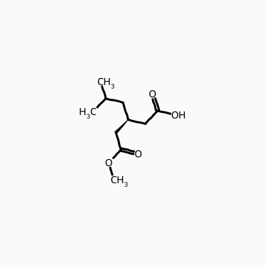 COC(=O)C[C@H](CC(=O)O)CC(C)C